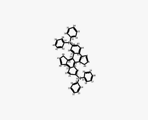 C1=Cc2c(c3c4cc(N(c5ccccc5)c5ccccc5)ccc4c4c(c3c3cc(N(c5ccccc5)c5ccccc5)ccc23)CC=C4)C1